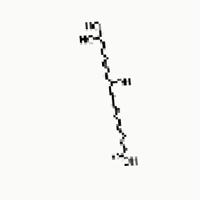 O=C(O)CCCCCCCCCCC(O)CCCCCCC(O)CO